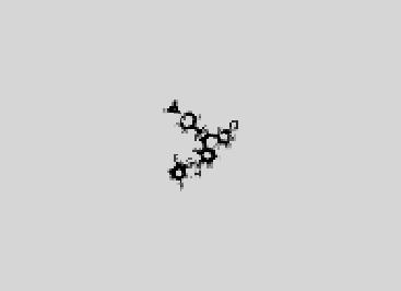 Fc1ccc(F)c(SNc2cccc(-c3nc(C4CCN(C5CC5)CC4)sc3-c3ccnc(Cl)n3)c2F)c1